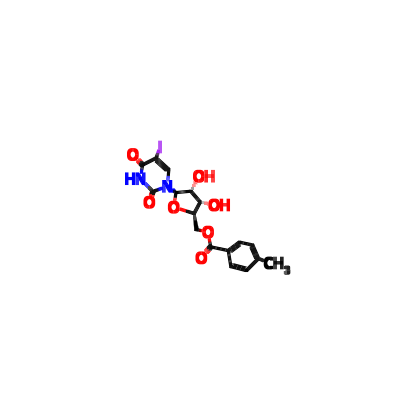 Cc1ccc(C(=O)OC[C@H]2O[C@@H](n3cc(I)c(=O)[nH]c3=O)[C@H](O)[C@@H]2O)cc1